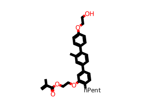 C=C(C)C(=O)OCCOc1cc(-c2ccc(-c3ccc(OCCO)cc3)c(C)c2)ccc1CCCCC